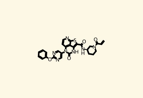 C=CC(=O)N1CCC[C@@H](NC(=O)c2sc3nccc4c3c2NC(=O)N4c2cnc(Oc3ccccc3)nc2)C1